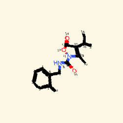 Cc1ccccc1CNC(=O)n1oc(=O)c(C(C)C)c1C